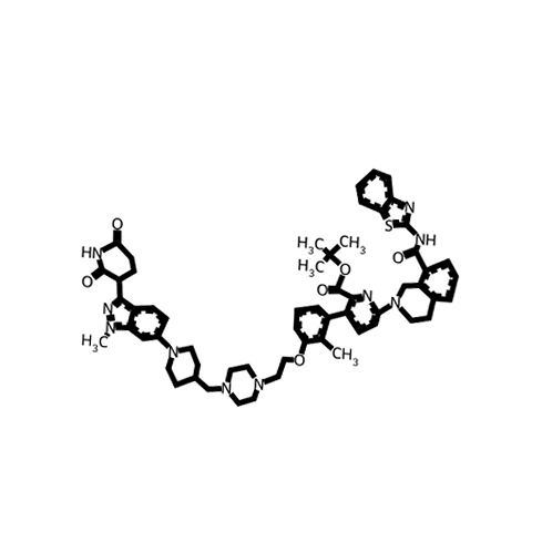 Cc1c(OCCN2CCN(CC3CCN(c4ccc5c(C6CCC(=O)NC6=O)nn(C)c5c4)CC3)CC2)cccc1-c1ccc(N2CCc3cccc(C(=O)Nc4nc5ccccc5s4)c3C2)nc1C(=O)OC(C)(C)C